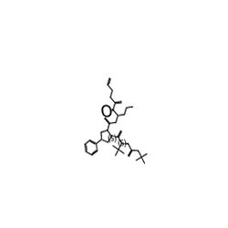 C=CCCC(=C)C(=O)C(CCC)CC(=C)C1CC(c2ccccc2)C[C@@H]1C(=C)[C@@H](CC(=C)CC(C)(C)C)C(C)(C)C